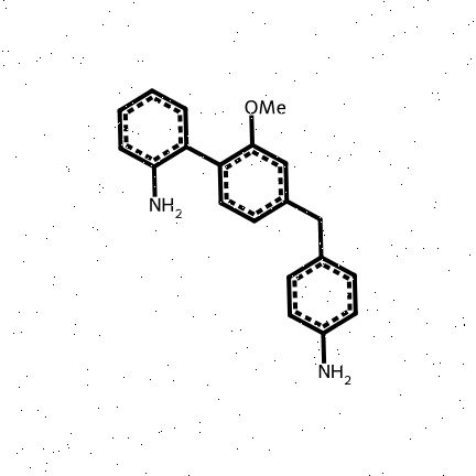 COc1cc(Cc2ccc(N)cc2)ccc1-c1ccccc1N